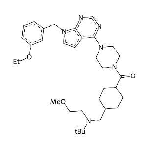 CCOc1cccc(Cn2ccc3c(N4CCN(C(=O)C5CCC(CN(CCOC)C(C)(C)C)CC5)CC4)ncnc32)c1